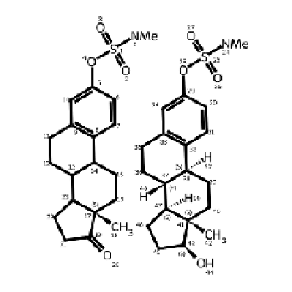 CNS(=O)(=O)Oc1ccc2c(c1)CCC1C2CC[C@]2(C)C(=O)CCC12.CNS(=O)(=O)Oc1ccc2c(c1)CC[C@@H]1[C@@H]2CC[C@]2(C)[C@@H](O)CC[C@@H]12